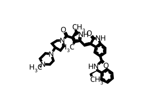 CC[C@@H](NC(=O)c1ccc2c(c1)/C(=C/c1[nH]c(C)c(C(=O)N3CCC(N4CCN(C)CC4)CC3)c1C)C(=O)N2)c1ccccc1